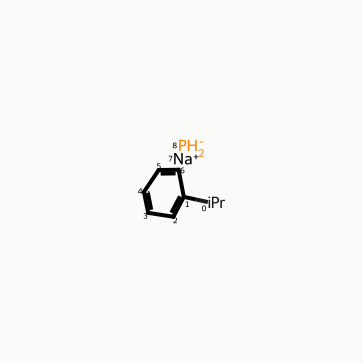 CC(C)c1cc[c]cc1.[Na+].[PH2-]